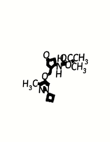 Cc1nn(C2CCC2)cc1OCC1CC(=O)CC1NC(=O)OC(C)(C)C